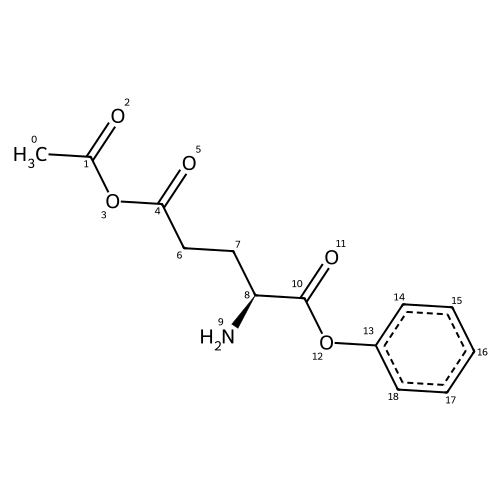 CC(=O)OC(=O)CC[C@H](N)C(=O)Oc1ccccc1